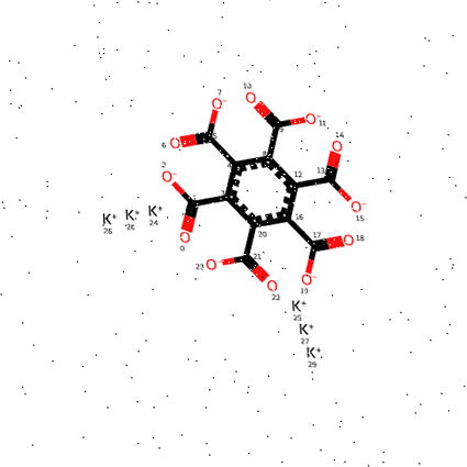 O=C([O-])c1c(C(=O)[O-])c(C(=O)[O-])c(C(=O)[O-])c(C(=O)[O-])c1C(=O)[O-].[K+].[K+].[K+].[K+].[K+].[K+]